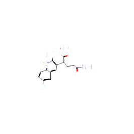 Cc1nc2ccc(Br)cc2cc1C(CCC(N)=O)C(=O)OC(C)(C)C